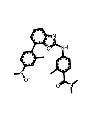 Cc1cc(Nc2nc3cccc(-c4ccc([S+](C)[O-])cc4C)c3o2)ccc1C(=O)N(C)C